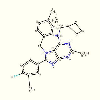 Cc1ccc(Cn2c(-c3ccc(F)c(C)c3)nc3nc(C(=O)O)nc(N[C@H](C)C4CCC4)c32)cc1